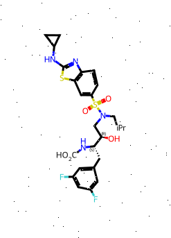 CC(C)CN(C[C@@H](O)[C@H](Cc1cc(F)cc(F)c1)NC(=O)O)S(=O)(=O)c1ccc2nc(NC3CC3)sc2c1